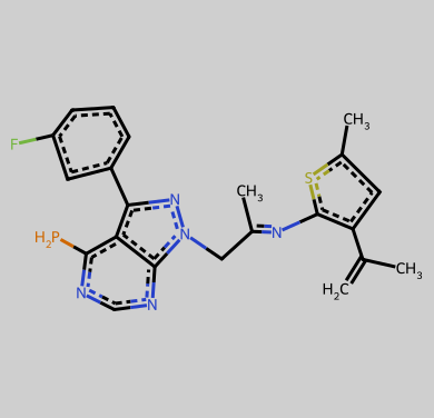 C=C(C)c1cc(C)sc1/N=C(\C)Cn1nc(-c2cccc(F)c2)c2c(P)ncnc21